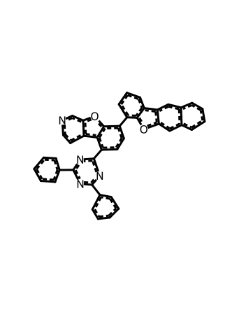 c1ccc(-c2nc(-c3ccccc3)nc(-c3ccc(-c4cccc5c4oc4cc6ccccc6cc45)c4oc5cnccc5c34)n2)cc1